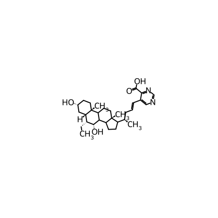 CC[C@H]1[C@@H](O)C2C3CCC([C@H](C)C/C=C/c4cncnc4C(=O)O)[C@@]3(C)CCC2[C@@]2(C)CC[C@@H](O)C[C@@H]12